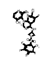 Cc1ccnc(C(C)C)c1N1CN=C(NC2CN(S(=O)(=O)c3c(F)c(F)c(F)c(F)c3C(F)(F)F)C2)c2cc(F)c(Cl)nc21